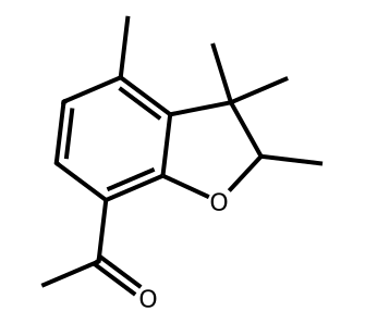 CC(=O)c1ccc(C)c2c1OC(C)C2(C)C